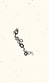 Cc1cccc(CCc2ccc(OC(=O)N3CCN(Cc4ccncn4)CC3)cc2)n1